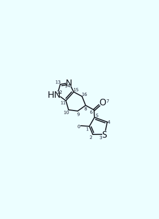 Cc1cscc1C(=O)C1CCc2[nH]cnc2C1